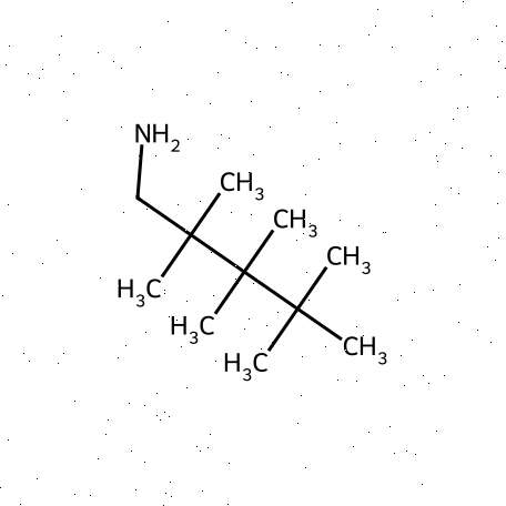 CC(C)(C)C(C)(C)C(C)(C)CN